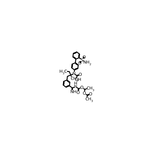 CCC(C)(Cc1cccc(C(=N)NC(=O)OC(C)OC(C)=O)c1)N(C(=O)O)c1ccc(-c2ccccc2S(N)(=O)=O)cc1